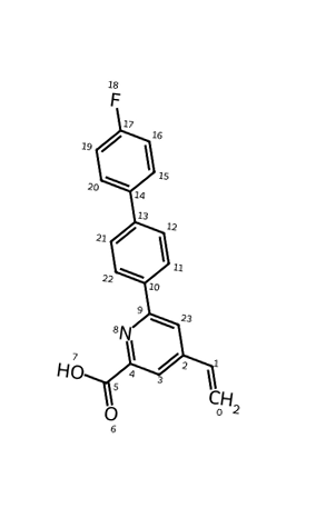 C=Cc1cc(C(=O)O)nc(-c2ccc(-c3ccc(F)cc3)cc2)c1